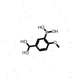 COc1ccc(C(O)O)cc1B(O)O